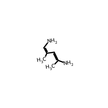 CC(=C/N)/C=C(\C)N